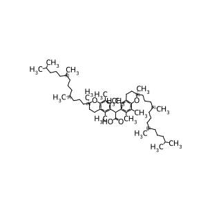 Cc1c(C)c(C(C(=O)O)c2c(C)c(C)c3c(c2C)CC[C@@](C)(CCC[C@H](C)CCC[C@H](C)CCCC(C)C)O3)c(C)c2c1O[C@](C)(CCC[C@H](C)CCC[C@H](C)CCCC(C)C)CC2